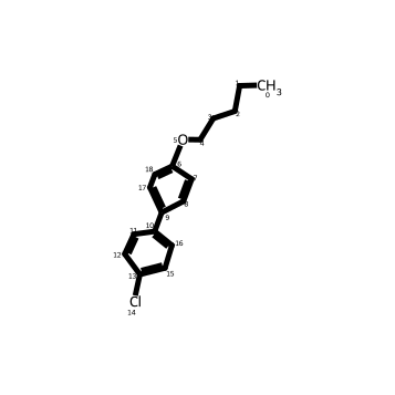 CCCCCOc1ccc(-c2ccc(Cl)cc2)cc1